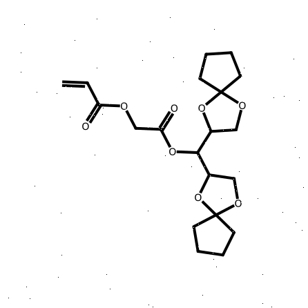 C=CC(=O)OCC(=O)OC(C1COC2(CCCC2)O1)C1COC2(CCCC2)O1